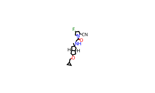 CC1(NCC(=O)N2C[C@@H](F)C[C@H]2C#N)C[C@H]2CC(OCC3CC3)C[C@H]2C1